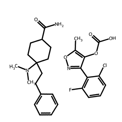 CN(C)C1(CCc2ccccc2)CCC(C(N)=O)CC1.Cc1onc(-c2c(F)cccc2Cl)c1OC(=O)O